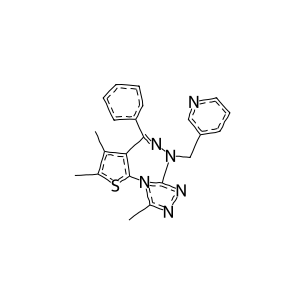 Cc1sc2c(c1C)C(c1ccccc1)=NN(Cc1cccnc1)c1nnc(C)n1-2